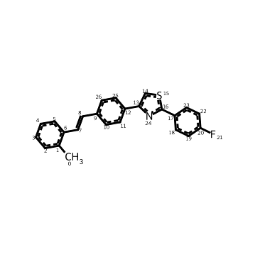 Cc1ccccc1/C=C/c1ccc(-c2csc(-c3ccc(F)cc3)n2)cc1